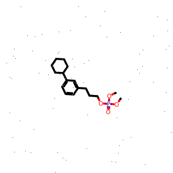 COP(=O)(OC)OCCCc1cccc(C2CCCCC2)c1